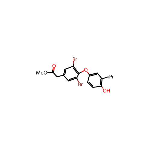 COC(=O)Cc1cc(Br)c(Oc2ccc(O)c(C(C)C)c2)c(Br)c1